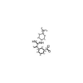 C=C(C(=N)N[C@H]1CC[C@H](N(C)C)CC1)c1cccc(C(=O)Cl)c1